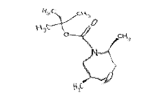 C[C@H]1CN(C(=O)OC(C)(C)C)[C@@H](C)CO1